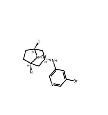 CN1[C@@H]2CC[C@H]1C[C@@H](Nc1cncc(Br)c1)C2